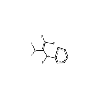 FN(F)C(N(F)c1ccccc1)=S(F)F